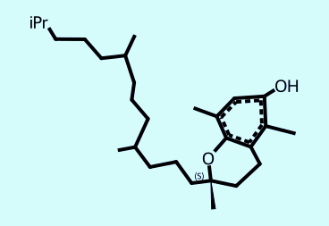 Cc1cc(O)c(C)c2c1O[C@@](C)(CCCC(C)CCCC(C)CCCC(C)C)CC2